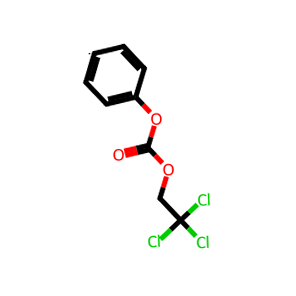 O=C(OCC(Cl)(Cl)Cl)Oc1cc[c]cc1